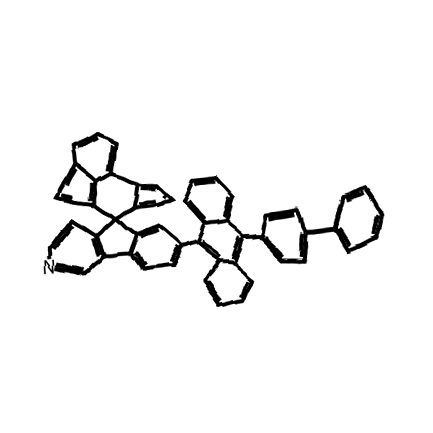 c1ccc(-c2ccc(-c3c4ccccc4c(-c4ccc5c(c4)C4(c6ccncc6-5)c5ccccc5-c5cccc6cccc4c56)c4ccccc34)cc2)cc1